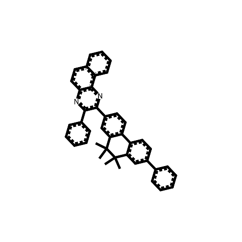 CC1(C)c2cc(-c3ccccc3)ccc2-c2ccc(-c3nc4c(ccc5ccccc54)nc3-c3ccccc3)cc2C1(C)C